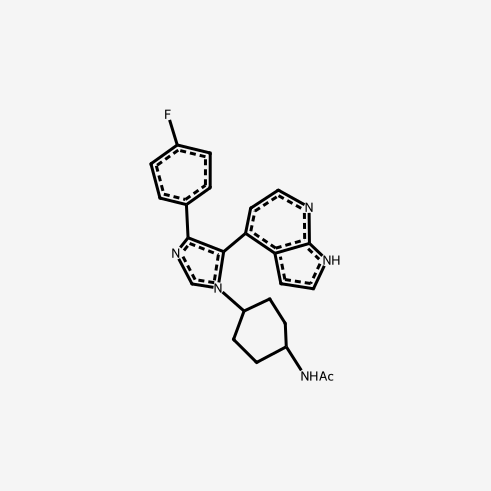 CC(=O)NC1CCC(n2cnc(-c3ccc(F)cc3)c2-c2ccnc3[nH]ccc23)CC1